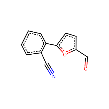 N#Cc1ccccc1-c1ccc(C=O)o1